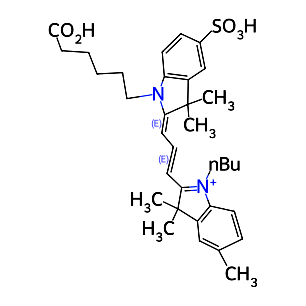 CCCC[N+]1=C(/C=C/C=C2/N(CCCCCC(=O)O)c3ccc(S(=O)(=O)O)cc3C2(C)C)C(C)(C)c2cc(C)ccc21